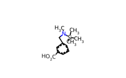 CN(Cc1cccc(C(=O)O)c1)[Si](C)(C)C